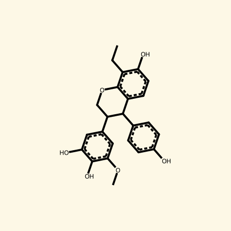 CCc1c(O)ccc2c1OCC(c1cc(O)c(O)c(OC)c1)C2c1ccc(O)cc1